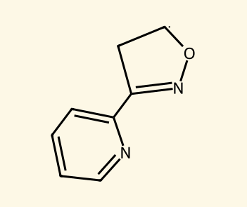 [CH]1CC(c2ccccn2)=NO1